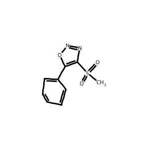 CS(=O)(=O)c1nnoc1-c1ccccc1